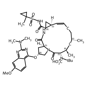 COc1ccc2c(O[C@@H]3C[C@H]4C(=O)N[C@]5(C(=O)NS(=O)(=O)C6(C)CC6)C[C@H]5C=CCC[C@H](C)C[C@@H](C)[C@H](N(C(=O)O)C(C)(C)C)C(=O)N4C3)nc(N(C)C)nc2c1